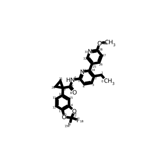 CCc1ccc(NC(=O)C2(c3ccc4c(c3)OC(F)(F)O4)CC2)nc1-c1ccc(OC)nc1